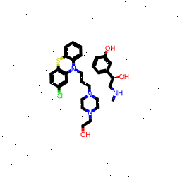 CNC[C@H](O)c1cccc(O)c1.OCCN1CCN(CCCN2c3ccccc3Sc3ccc(Cl)cc32)CC1